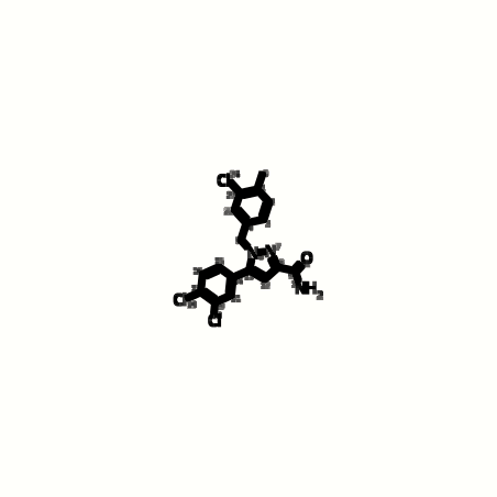 Cc1ccc(Cn2nc(C(N)=O)cc2-c2ccc(Cl)c(Cl)c2)cc1Cl